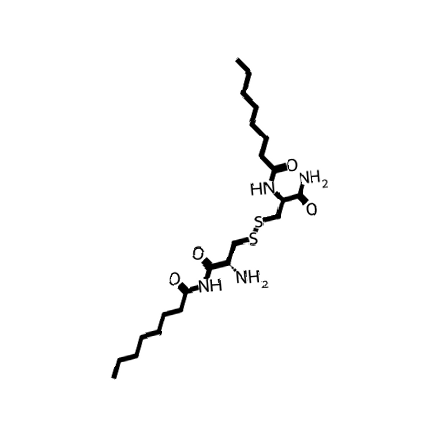 CCCCCCCC(=O)NC(=O)[C@@H](N)CSSCC(NC(=O)CCCCCCC)C(N)=O